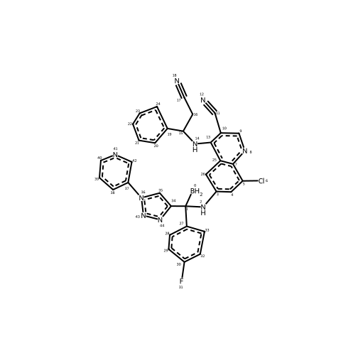 BC(Nc1cc(Cl)c2ncc(C#N)c(NC(CC#N)c3ccccc3)c2c1)(c1ccc(F)cc1)c1cn(-c2cccnc2)nn1